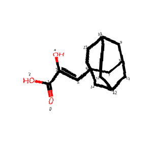 O=C(O)C(O)=CC12CC3CC(CC(C3)C1)C2